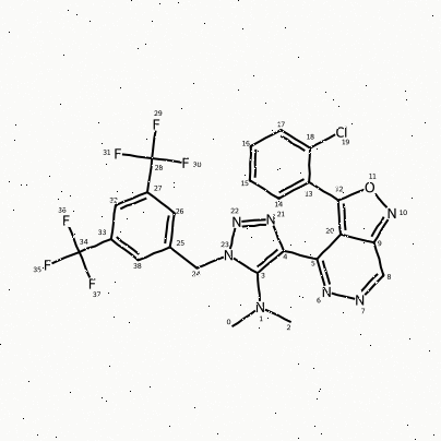 CN(C)c1c(-c2nncc3noc(-c4ccccc4Cl)c23)nnn1Cc1cc(C(F)(F)F)cc(C(F)(F)F)c1